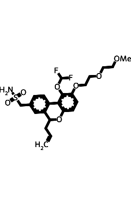 C=CCC1Oc2ccc(OCCOCCOC)c(OC(F)F)c2-c2ccc(CS(N)(=O)=O)cc21